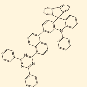 c1ccc(-c2nc(-c3ccccc3)nc(-c3cccc4c(-c5ccc6c(c5)N(c5ccccc5)c5ccccc5C65c6ccccc6-c6ccccc65)cccc34)n2)cc1